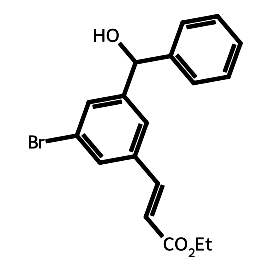 CCOC(=O)C=Cc1cc(Br)cc(C(O)c2ccccc2)c1